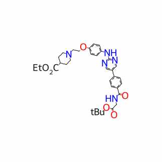 CCOC(=O)C1CCN(CCOc2ccc(Nc3ncc(-c4ccc(C(=O)NCC(=O)OC(C)(C)C)cc4)cn3)cc2)CC1